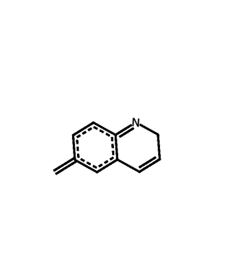 C=c1ccc2c(c1)C=CCN=2